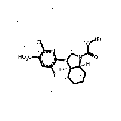 CC(C)(C)OC(=O)N1CN(c2nc(Cl)c(C(=O)O)cc2F)[C@@H]2CCCC[C@@H]21